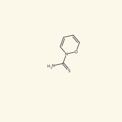 NC(=S)N1C=CC=CO1